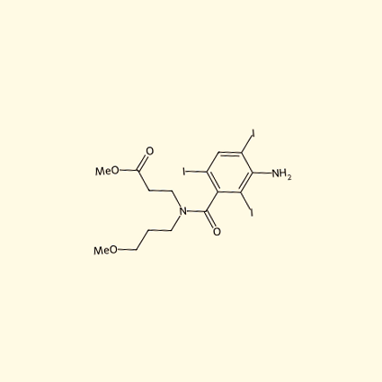 COCCCN(CCC(=O)OC)C(=O)c1c(I)cc(I)c(N)c1I